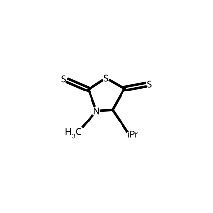 CC(C)C1C(=S)SC(=S)N1C